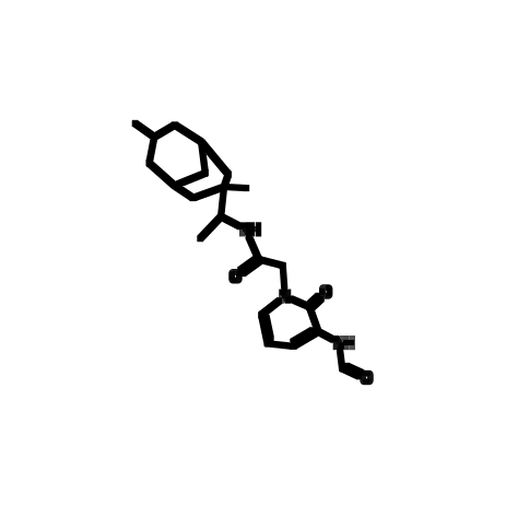 CC1CC2CC(C1)CC(C)(C(C)NC(=O)Cn1cccc(NC=O)c1=O)C2